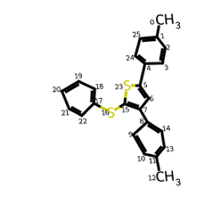 Cc1ccc(-c2cc(-c3ccc(C)cc3)c(Sc3ccccc3)s2)cc1